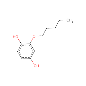 CCCCCOc1cc(O)ccc1O